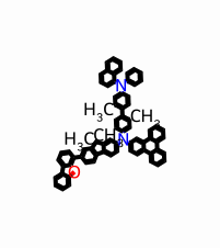 Cc1cc(N(c2ccc3c(c2)C(C)(C)c2cc(-c4cccc5c4oc4ccccc45)ccc2-3)c2ccc3c4ccccc4c4ccccc4c3c2)ccc1-c1ccc(N(c2ccccc2)c2cccc3ccccc23)cc1C